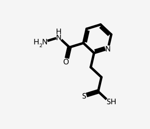 NNC(=O)c1cccnc1CCC(=S)S